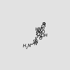 NCCc1nnc(SCC2=C(C(=O)O)N3C(=O)C(NC(=O)Cc4cccs4)[C@H]3SC2)s1